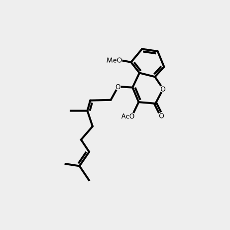 COc1cccc2oc(=O)c(OC(C)=O)c(OCC=C(C)CCC=C(C)C)c12